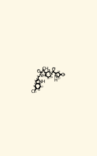 CN(C(=O)NCc1cc2cc(Cl)ccc2[nH]1)C1CCCN(C(=O)C2CC(=O)CN2)C1